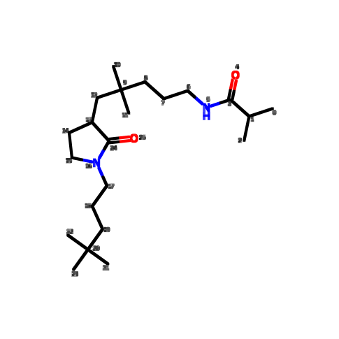 CC(C)C(=O)NCCCC(C)(C)CC1CCN(CCCC(C)(C)C)C1=O